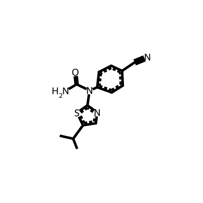 CC(C)c1cnc(N(C(N)=O)c2ccc(C#N)cc2)s1